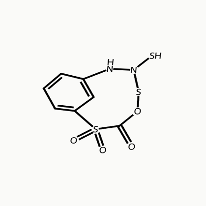 O=C1OSN(S)Nc2cccc(c2)S1(=O)=O